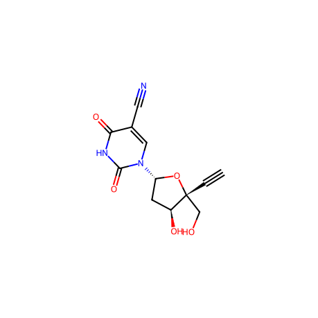 C#C[C@]1(CO)O[C@@H](n2cc(C#N)c(=O)[nH]c2=O)C[C@@H]1O